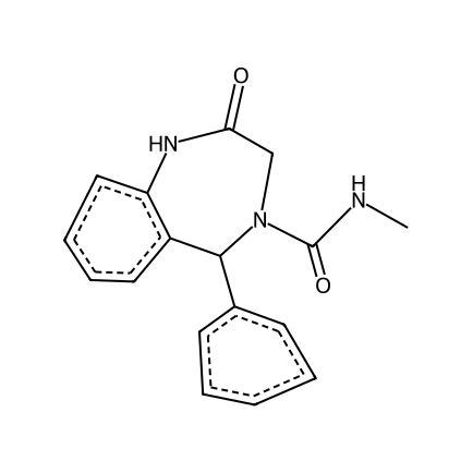 CNC(=O)N1CC(=O)Nc2ccccc2C1c1ccccc1